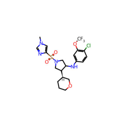 Cn1cnc(S(=O)(=O)N2CC(Nc3ccc(Cl)c(OC(F)(F)F)c3)C([C@@H]3CCCOC3)C2)c1